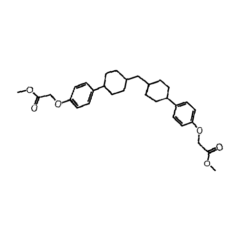 COC(=O)COc1ccc(C2CCC(CC3CCC(c4ccc(OCC(=O)OC)cc4)CC3)CC2)cc1